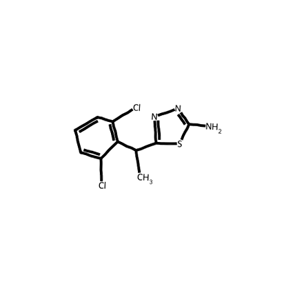 CC(c1nnc(N)s1)c1c(Cl)cccc1Cl